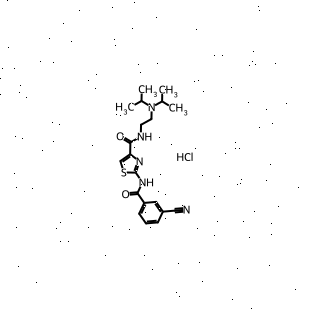 CC(C)N(CCNC(=O)c1csc(NC(=O)c2cccc(C#N)c2)n1)C(C)C.Cl